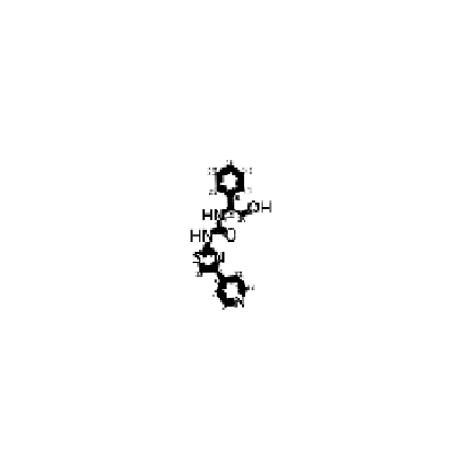 O=C(Nc1nc(-c2ccncc2)cs1)N[C@H](CO)c1ccccc1